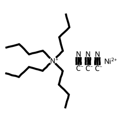 CCCC[N+](CCCC)(CCCC)CCCC.[C-]#N.[C-]#N.[C-]#N.[Ni+2]